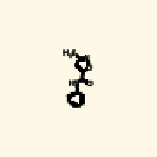 Cc1cc(C(=O)Nc2ccccc2)on1